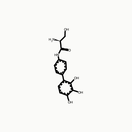 N[C@@H](CO)C(=O)Nc1ccc(-c2ccc(O)c(O)c2O)cc1